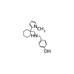 Cn1cccc1C1(CNCc2ccc(O)cc2)CCCCC1